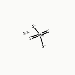 [Ni+2].[S]=[Mo](=[S])([S-])[S-]